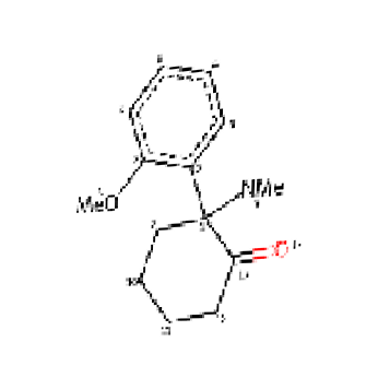 CNC1(c2ccccc2OC)CCCCC1=O